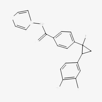 O=C(NN1C=COC=C1)c1ccc(C2(F)CC2c2ccc(Br)c(Br)c2)cc1